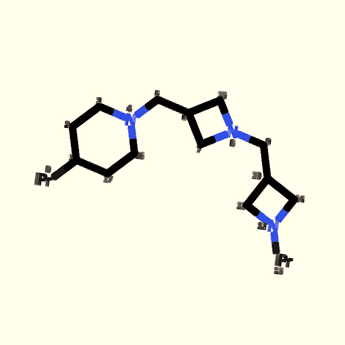 CC(C)C1CCN(CC2CN(CC3CN(C(C)C)C3)C2)CC1